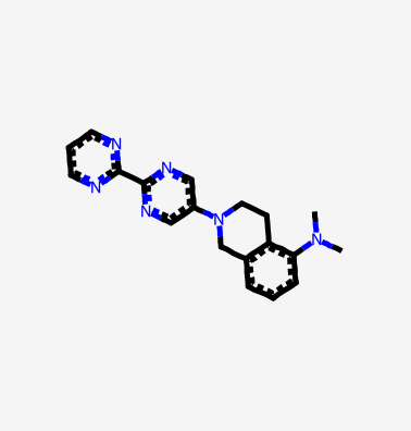 CN(C)c1cccc2c1CCN(c1cnc(-c3ncccn3)nc1)C2